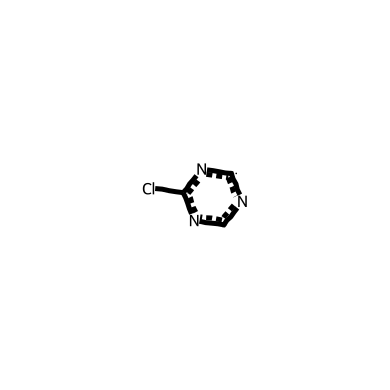 Clc1n[c]ncn1